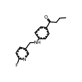 CCCC(=O)c1ccc(NCc2ccc(F)nc2)cc1